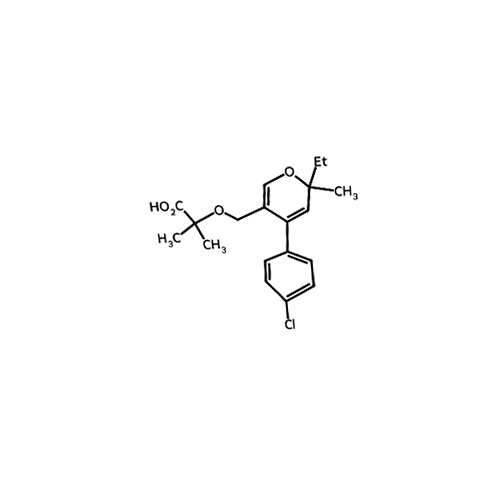 CCC1(C)C=C(c2ccc(Cl)cc2)C(COC(C)(C)C(=O)O)=CO1